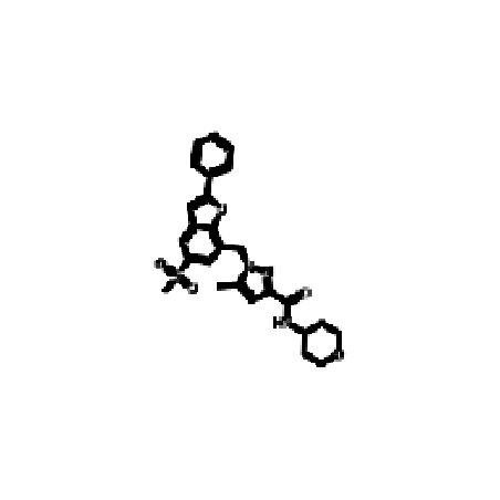 Cc1cc(C(=O)NC2CCOCC2)nn1Cc1cc(S(C)(=O)=O)cc2cc(-c3ccccc3)oc12